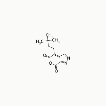 CC(C)(C)CCC1=C2C=NN=C2C(=O)OC1=O